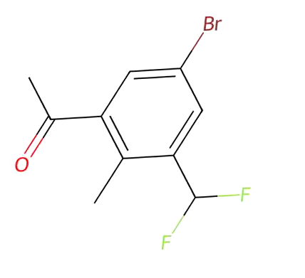 CC(=O)c1cc(Br)cc(C(F)F)c1C